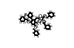 CCc1c(OCc2ccccc2)cc(OCc2ccccc2)c(-c2cccc(F)c2)c1CC1OC(OCc2ccccc2)C(OCc2ccccc2)O1